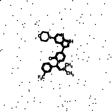 CN(C)/C=C(/c1cccc(C(F)(F)F)c1)n1ccc(-c2c[nH]c3ncc(N4CCOCC4)cc23)cc1=O